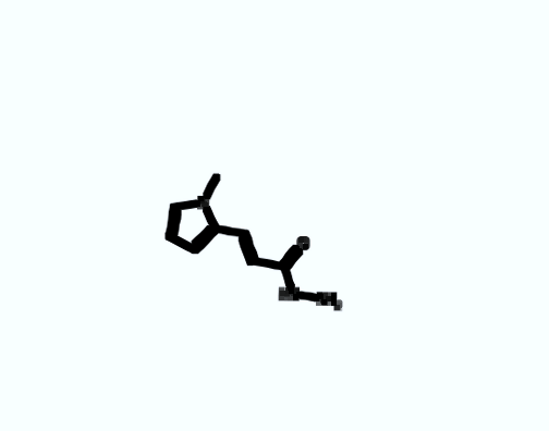 Cn1cccc1C=CC(=O)NN